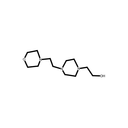 OCCN1CCN(CCN2CCOCC2)CC1